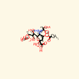 CC(=O)OC1CC(O)(C(=O)O)OC(C(O)C(O)CO)C1NC(=O)CO